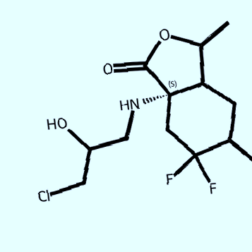 CC1OC(=O)[C@]2(NCC(O)CCl)CC(F)(F)C(C)CC12